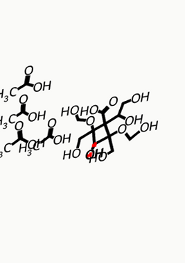 CC(=O)O.CC(=O)O.CC(=O)O.CC(=O)O.O=C(O)C(C(O)CO)(C(CO)(CO)OCO)C(CO)(CO)OCO